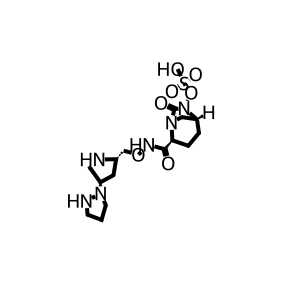 O=C(NOC[C@@H]1C[C@@H](N2CCCN2)CN1)[C@@H]1CC[C@@H]2CN1C(=O)N2OS(=O)(=O)O